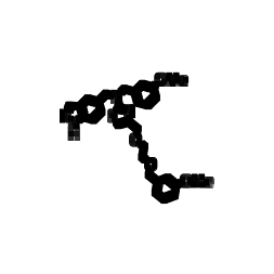 COc1cccc(COCCOCc2csc(N(Cc3cccc(OC)c3)Cc3ccc4[nH]ncc4c3)n2)c1